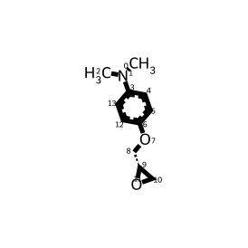 CN(C)c1ccc(OC[C@@H]2CO2)cc1